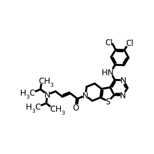 CC(C)N(CC=CC(=O)N1CCc2c(sc3ncnc(Nc4ccc(Cl)c(Cl)c4)c23)C1)C(C)C